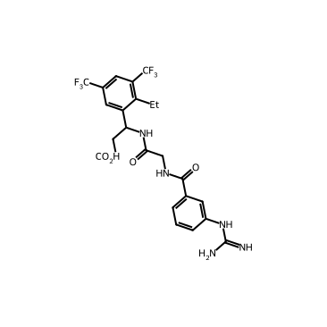 CCc1c(C(CC(=O)O)NC(=O)CNC(=O)c2cccc(NC(=N)N)c2)cc(C(F)(F)F)cc1C(F)(F)F